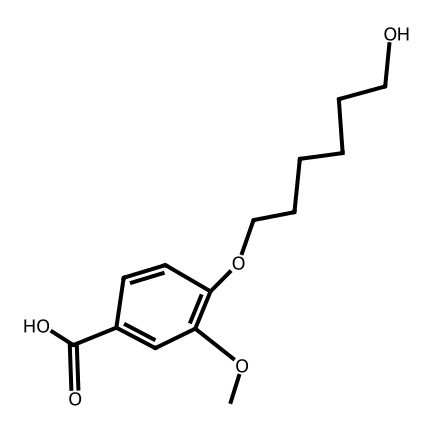 COc1cc(C(=O)O)ccc1OCCCCCCO